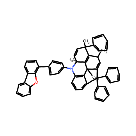 CC1C=C2C3(C)C4=C1C(C)(c1ccccc1)C=CC4(C)N(c1ccc(-c4cccc5c4oc4ccccc45)cc1)c1cccc(c13)C2(c1ccccc1)c1ccccc1